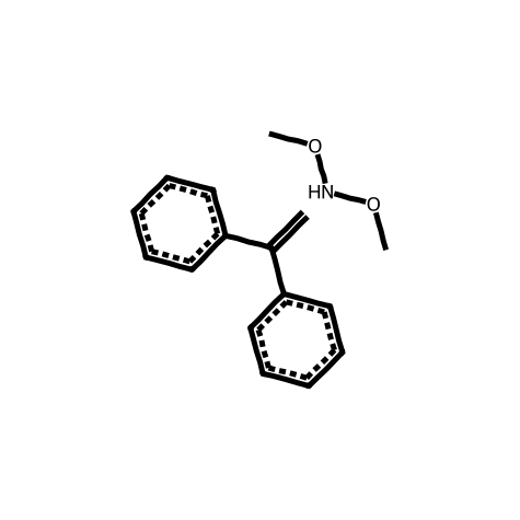 C=C(c1ccccc1)c1ccccc1.CONOC